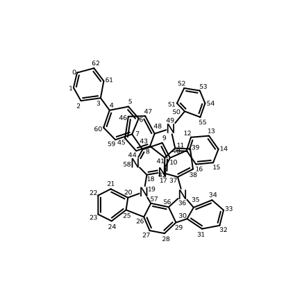 c1ccc(-c2ccc(-c3cc(-c4ccccc4)nc(-n4c5ccccc5c5ccc6c7ccccc7n(-c7ccc8c(c7)c7ccccc7n8-c7ccccc7)c6c54)n3)cc2)cc1